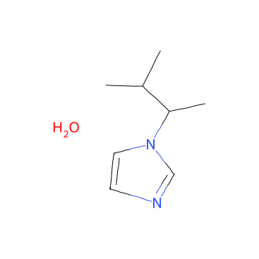 CC(C)C(C)n1ccnc1.O